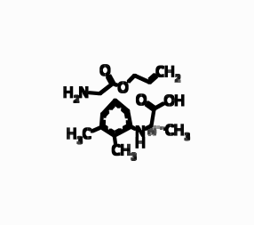 C=CCOC(=O)CN.Cc1cccc(N[C@@H](C)C(=O)O)c1C